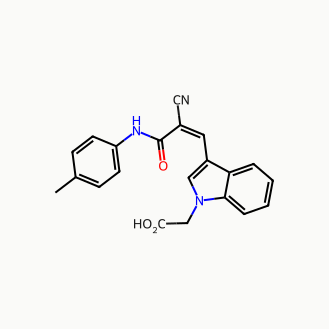 Cc1ccc(NC(=O)C(C#N)=Cc2cn(CC(=O)O)c3ccccc23)cc1